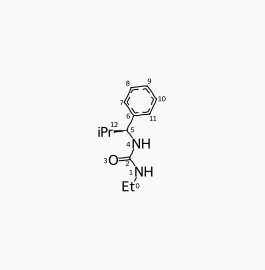 CCNC(=O)N[C@H](c1ccccc1)C(C)C